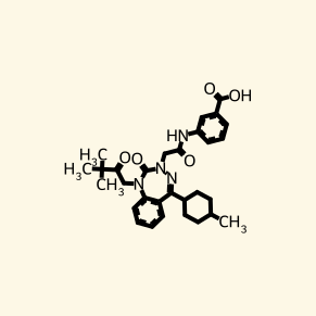 CC1CCC(C2=NN(CC(=O)Nc3cccc(C(=O)O)c3)C(=O)N(CC(=O)C(C)(C)C)c3ccccc32)CC1